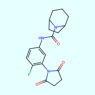 O=C1CCC(=O)N1c1cc(NC(=O)N2C3CCCC2CC3)ccc1F